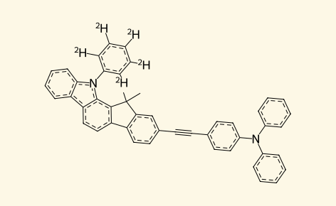 [2H]c1c([2H])c([2H])c(-n2c3ccccc3c3ccc4c(c32)C(C)(C)c2cc(C#Cc3ccc(N(c5ccccc5)c5ccccc5)cc3)ccc2-4)c([2H])c1[2H]